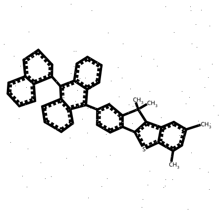 Cc1cc(C)c2sc3c(c2c1)C(C)(C)c1cc(-c2c4ccccc4c(-c4cccc5ccccc45)c4ccccc24)ccc1-3